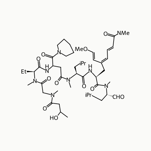 CC[C@@H](C(=O)NC(CC(=O)N(C)[C@@H](CC(C)C)C(=O)N[C@@H](CC(=C/C=C/C(=O)NC)/C=C/OC)C(=O)N(C)[C@H](C=O)CC(C)C)C(=O)N1CCCCC1)N(C)C(=O)CN(C)C(=O)CC(C)O